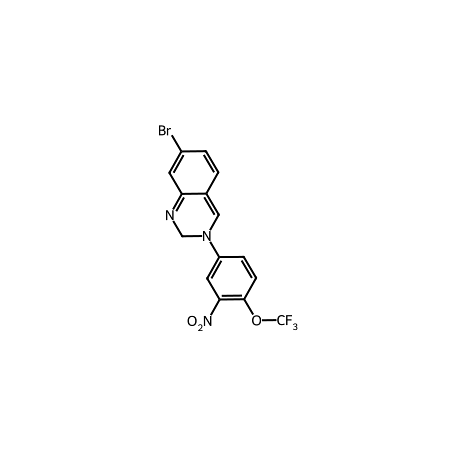 O=[N+]([O-])c1cc(N2C=c3ccc(Br)cc3=NC2)ccc1OC(F)(F)F